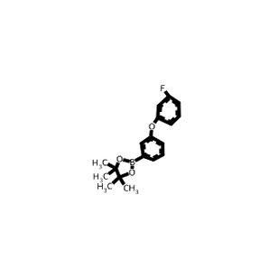 CC1(C)OB(c2cccc(Oc3cccc(F)c3)c2)OC1(C)C